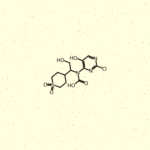 O=C(O)N(c1nc(Cl)ncc1O)C(CO)C1CCS(=O)(=O)CC1